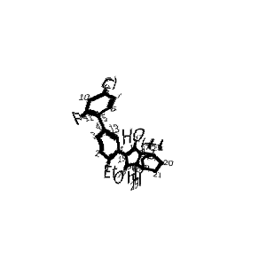 CCc1ccc(-c2ccc(Cl)cc2F)cc1C1=C(O)[C@H]2[C@H]3CC[C@H](C3)[C@H]2C1=O